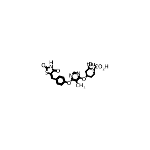 Cc1c(Oc2ccc(C=C3SC(=O)NC3=O)cc2)ncnc1OC1CCN(C(=O)O)C(C(C)(C)C)C1